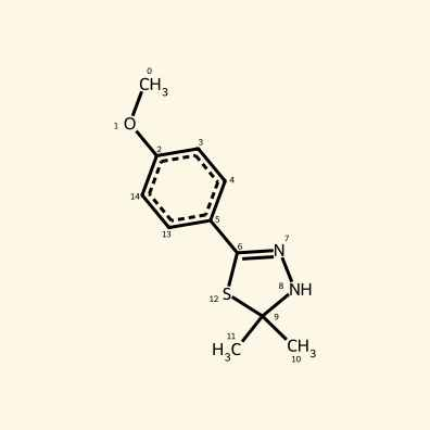 COc1ccc(C2=NNC(C)(C)S2)cc1